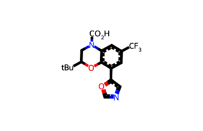 CC(C)(C)C1CN(C(=O)O)c2cc(C(F)(F)F)cc(-c3cnco3)c2O1